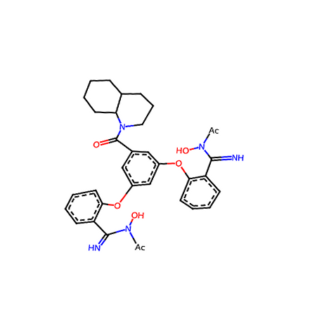 CC(=O)N(O)C(=N)c1ccccc1Oc1cc(Oc2ccccc2C(=N)N(O)C(C)=O)cc(C(=O)N2CCCC3CCCCC32)c1